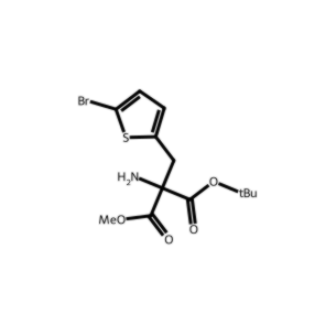 COC(=O)C(N)(Cc1ccc(Br)s1)C(=O)OC(C)(C)C